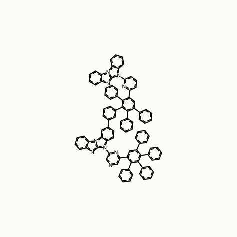 c1ccc(-c2cc(-c3cccc(-n4c5ccccc5n5c6ccccc6nc45)n3)c(-c3ccccc3)c(-c3cccc(-c4ccc5c(c4)n4c6ccccc6nc4n5-c4cncc(-c5cc(-c6ccccc6)c(-c6ccccc6)c(-c6ccccc6)c5-c5ccccc5)n4)c3)c2-c2ccccc2)cc1